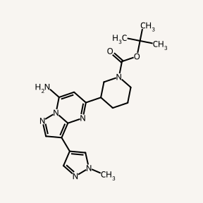 Cn1cc(-c2cnn3c(N)cc(C4CCCN(C(=O)OC(C)(C)C)C4)nc23)cn1